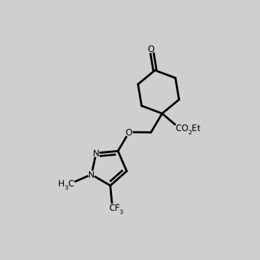 CCOC(=O)C1(COc2cc(C(F)(F)F)n(C)n2)CCC(=O)CC1